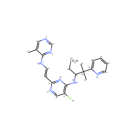 Cc1cncnc1N/C=C/c1ncc(F)c(NC(CC(=O)O)C(C)(C)c2ccccn2)n1